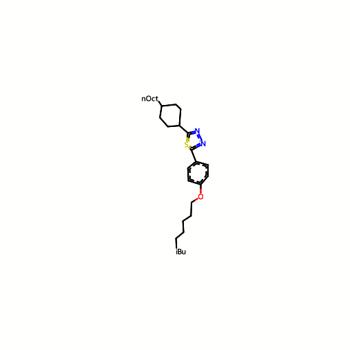 CCCCCCCCC1CCC(c2nnc(-c3ccc(OCCCCCC(C)CC)cc3)s2)CC1